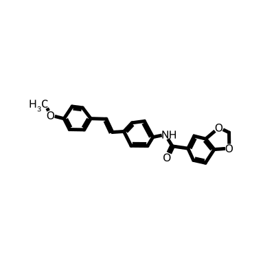 COc1ccc(/C=C/c2ccc(NC(=O)c3ccc4c(c3)OCO4)cc2)cc1